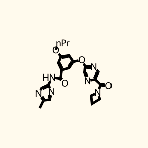 CCCOc1cc(Oc2cnc(C(=O)N3CCC3)cn2)cc(C(=O)Nc2cnc(C)cn2)c1